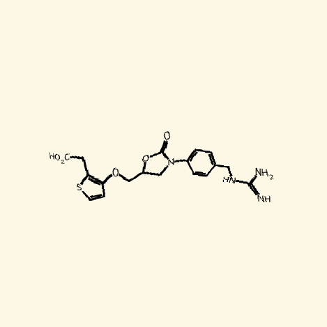 N=C(N)NCc1ccc(N2CC(COc3ccsc3CC(=O)O)OC2=O)cc1